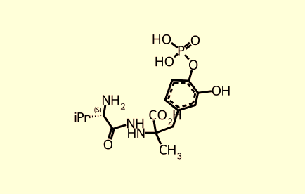 CC(C)[C@H](N)C(=O)NNC(C)(Cc1ccc(OP(=O)(O)O)c(O)c1)C(=O)O